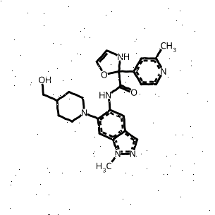 Cc1cc(C2(C(=O)Nc3cc4cnn(C)c4cc3N3CCC(CO)CC3)NC=CO2)ccn1